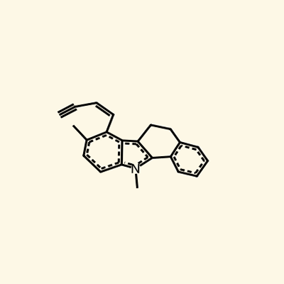 C#C/C=C\c1c(C)ccc2c1c1c(n2C)-c2ccccc2CC1